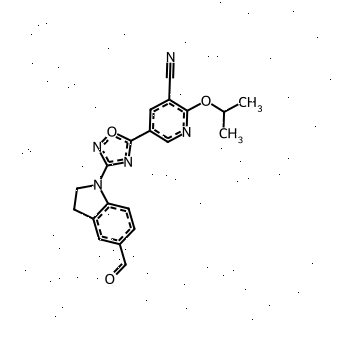 CC(C)Oc1ncc(-c2nc(N3CCc4cc(C=O)ccc43)no2)cc1C#N